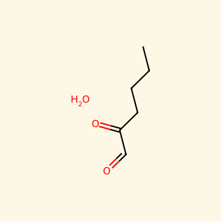 CCCCC(=O)C=O.O